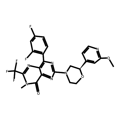 COc1cc([C@@H]2CN(c3nc(-c4ccc(F)cc4F)c4nc(C(F)(F)F)n(C)c(=O)c4n3)CCO2)ccn1